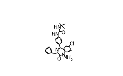 CC(C)(C)NC(=O)Nc1ccc(C2=NC(Cc3ccccc3)C(=O)N(N)c3ccc(Cl)cc32)cc1